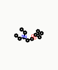 c1ccc(-c2cccc(-c3cc(-c4cccc(-c5ccc6c(c5)Oc5ccc7c(c5O6)-c5ccccc5C7(c5ccccc5)c5ccccc5)c4)nc(-c4cccc(-c5ccccc5)c4)n3)c2)cc1